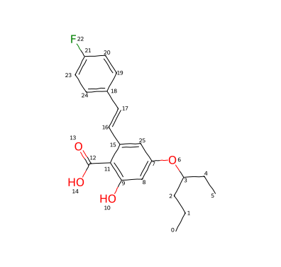 CCCC(CC)Oc1cc(O)c(C(=O)O)c(C=Cc2ccc(F)cc2)c1